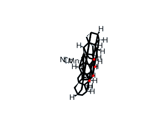 C1C2[C@@H]3[C@H]4[C@@H]5[C@H]6C[C@@H]7C[C@@]89C[C@@]%10%11C[C@@H]%12C[C@H]%13[C@@H]%14[C@H]%15[C@H]2[C@]2%16C[C@H]1C[C@]31C[C@@]5(C7)[C@H]8[C@@]([C@H]%10[C@@]%14(C%12)C2)([C@@H]1%16)[C@]4%15[C@@H]([C@@H]69)[C@H]%13%11.[Co].[Mn].[Ni]